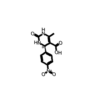 CC1=C(C(=O)O)[C@@H](c2ccc([N+](=O)[O-])cc2)NC(=O)N1